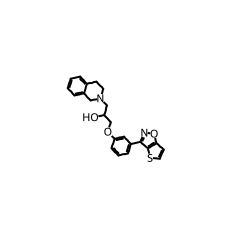 OC(COc1cccc(-c2noc3ccsc23)c1)CN1CCc2ccccc2C1